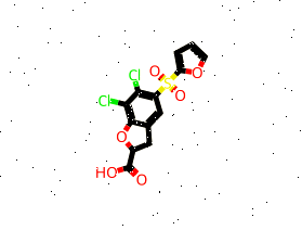 O=C(O)C1Cc2cc(S(=O)(=O)c3ccco3)c(Cl)c(Cl)c2O1